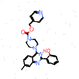 Cc1ccc2c(N3CCN(C(=O)OCc4ccncc4)CC3)nc(-c3ccccc3O)nc2c1